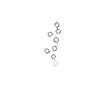 c1ccc(N(c2ccc(Cc3ccc(N(c4ccccc4)c4ccc5sc6ccccc6c5c4)cc3)cc2)c2ccc(C3CCCCC3)cc2)cc1